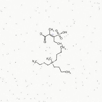 CC/C(=C(/C)C(=O)[O-])S(=O)(=O)O.CCCC[P+](C)(CCCC)CCCC